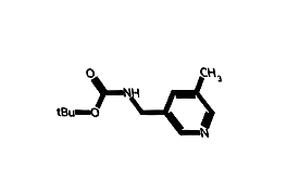 Cc1cncc(CNC(=O)OC(C)(C)C)c1